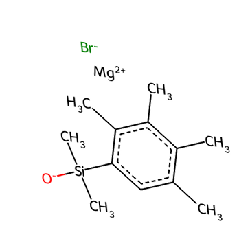 Cc1cc([Si](C)(C)[O-])c(C)c(C)c1C.[Br-].[Mg+2]